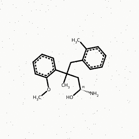 COc1ccccc1C(C)(Cc1ccccc1C)C[C@H](N)O